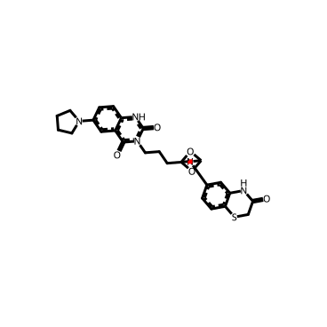 O=C1CSc2ccc(N3CC4(CCCn5c(=O)[nH]c6ccc(N7CCCC7)cc6c5=O)OC3O4)cc2N1